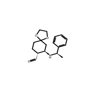 C[C@@H](N[C@@H]1CC2(CC[C@H]1C=O)OCCO2)c1ccccc1